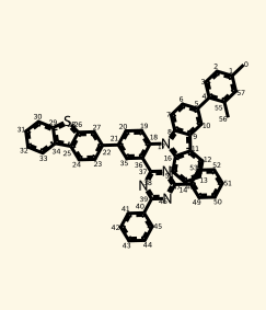 Cc1ccc(-c2ccc3c(c2)c2ccccc2n3-c2ccc(-c3ccc4c(c3)sc3ccccc34)cc2-c2nc(-c3ccccc3)nc(-c3ccccc3)n2)c(C)c1